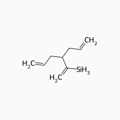 C=CCC(CC=C)C(=C)[SiH3]